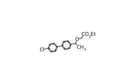 CCOC(=O)COC(C)c1ccc(-c2ccc(Cl)cc2)cc1